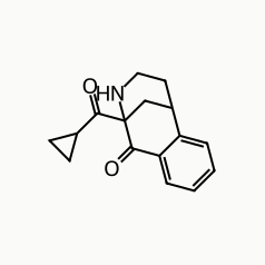 O=C1c2ccccc2C2CCNC1(C(=O)C1CC1)C2